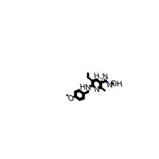 CCc1cc(/C(N)=N/O)c(C)nc1NCc1ccc(OC)cc1